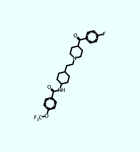 O=C(NC1CCC(CCN2CCC(C(=O)c3ccc(F)cc3)CC2)CC1)c1ccc(OC(F)(F)F)cc1